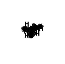 O=C(CSc1nc2c(=O)n3cc(-c4ccccc4)[nH]c3nc2n1CC(O)C1OPOCC1O)Nc1ccccc1